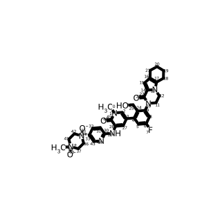 Cn1cc(-c2cc(F)cc(N3CCn4c(cc5c4CCCC5)C3=O)c2CO)cc(Nc2ccc([N+]3([O-])CC[N+](C)([O-])CC3)cn2)c1=O